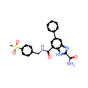 CS(=O)(=O)c1ccc(CNC(=O)c2cc(-c3ccccc3)cc3nc(C(N)=O)[nH]c23)cc1